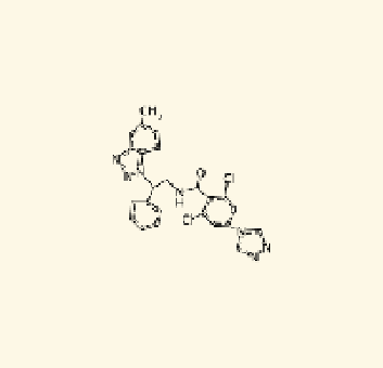 Cc1ccc2c(c1)nnn2C(CNC(=O)c1c(Cl)cc(-n2cnnc2)cc1Cl)c1ccccc1